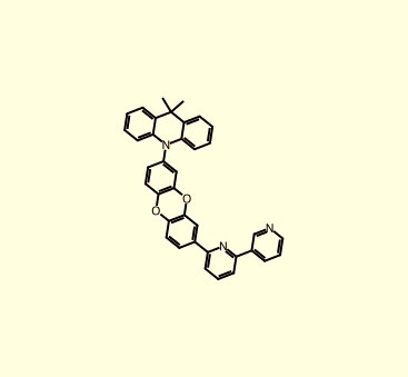 CC1(C)c2ccccc2N(c2ccc3c(c2)Oc2cc(-c4cccc(-c5cccnc5)n4)ccc2O3)c2ccccc21